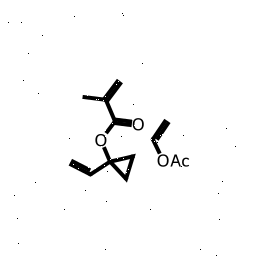 C=CC1(OC(=O)C(=C)C)CC1.C=COC(C)=O